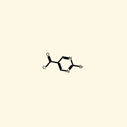 O=C(Cl)c1cnc(Br)nc1